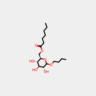 CCCCCCC(=O)OC[C@H]1OC(OCCCC)[C@H](O)[C@@H](O)[C@@H]1O